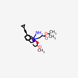 CO[C@H]1CC[C@]2(CC1)Cc1ccc(C#CC3CC3)cc1C21N=C(N)N(CCC(=O)OC(C)C)C1=O